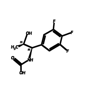 C[C@@H](O)[C@H](NC(=O)O)c1cc(F)c(F)c(F)c1